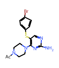 CC(=O)N1CCN(c2nc(N)ncc2Sc2ccc(Br)cc2)CC1